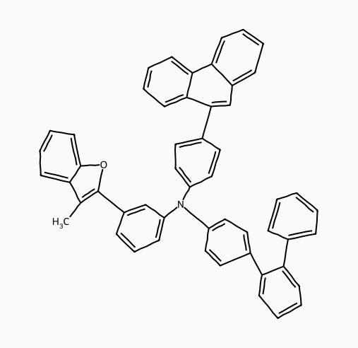 Cc1c(-c2cccc(N(c3ccc(-c4ccccc4-c4ccccc4)cc3)c3ccc(-c4cc5ccccc5c5ccccc45)cc3)c2)oc2ccccc12